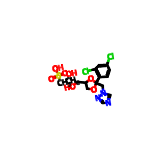 CO.CS(=O)(=O)O.OCC1COC(Cn2cncn2)(c2ccc(Cl)cc2Cl)O1